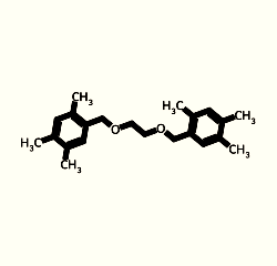 Cc1cc(C)c(COCCOCc2cc(C)c(C)cc2C)cc1C